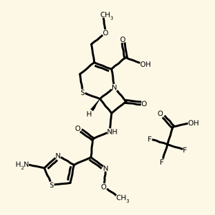 COCC1=C(C(=O)O)N2C(=O)C(NC(=O)C(=NOC)c3csc(N)n3)[C@@H]2SC1.O=C(O)C(F)(F)F